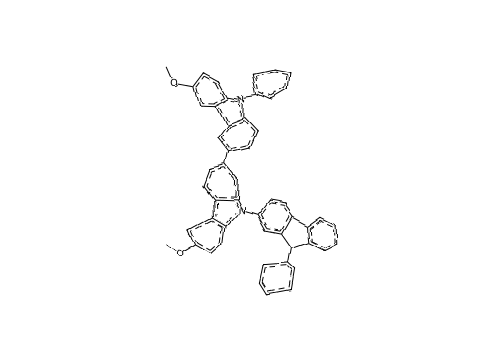 COc1ccc2c(c1)c1cc(-c3ccc4c5cc(OC)ccc5n(-c5ccc6c(c5)C(c5ccccc5)c5ccccc5-6)c4c3)ccc1n2-c1ccccc1